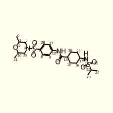 CC1CN(S(=O)(=O)c2ccc(NC(=O)C3CCC(NS(=O)(=O)C(C)C)CC3)cc2)C[C@@H](C)O1